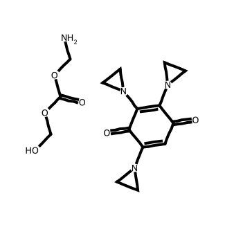 NCOC(=O)OCO.O=C1C=C(N2CC2)C(=O)C(N2CC2)=C1N1CC1